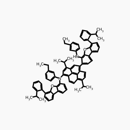 CCc1cccc(Nc2c(-c3cc4c(C(C)C)cc(N(c5cccc(CC)c5)c5cccc6c5oc5c(-c7ccccc7C(C)C)cccc56)c5ccc6c(C(C)C)ccc3c6c45)ccc3c2oc2c(-c4ccccc4C(C)C)cccc23)c1